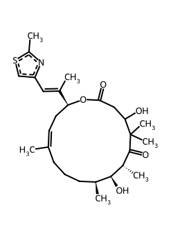 C/C1=C/C[C@@H](/C(C)=C/c2csc(C)n2)OC(=O)CC(O)C(C)(C)C(=O)[C@H](C)[C@@H](O)[C@@H](C)CCC1